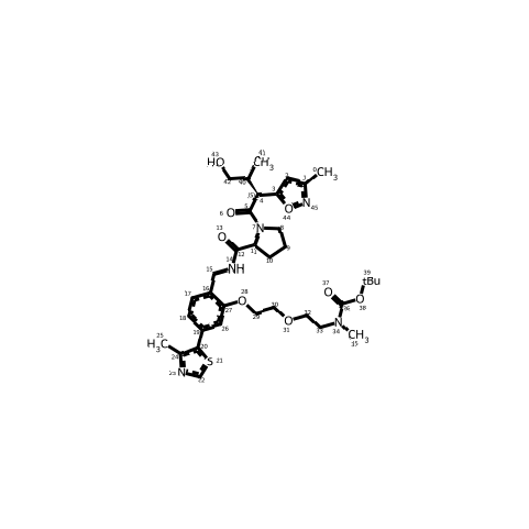 Cc1cc([C@@H](C(=O)N2CCCC2C(=O)NCc2ccc(-c3scnc3C)cc2OCCOCCN(C)C(=O)OC(C)(C)C)C(C)CO)on1